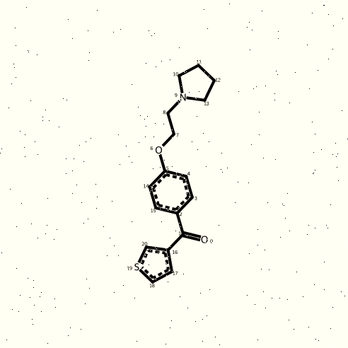 O=C(c1ccc(OCCN2CCCC2)cc1)c1ccsc1